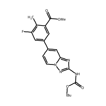 COC(=O)c1cc(-c2ccn3nc(NC(=O)OC(C)(C)C)nc3c2)cc(F)c1C